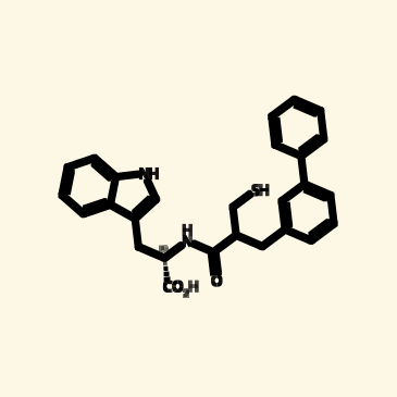 O=C(N[C@@H](Cc1c[nH]c2ccccc12)C(=O)O)C(CS)Cc1cccc(-c2ccccc2)c1